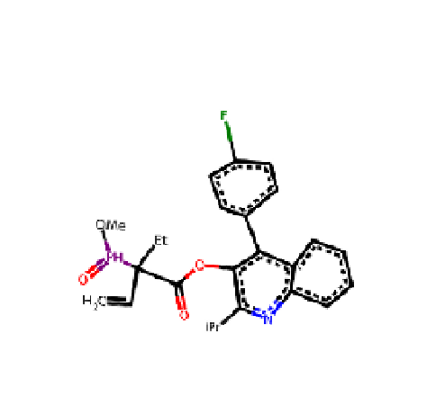 C=CC(CC)(C(=O)Oc1c(C(C)C)nc2ccccc2c1-c1ccc(F)cc1)[PH](=O)OC